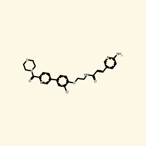 Nc1ccc(C=CC(=O)NCCOc2ccc(-c3ccc(C(=O)N4CCOCC4)nc3)cc2Cl)cn1